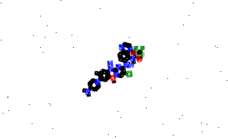 COc1cc(N2CCC(N(C)C)CC2)c(C)cc1Nc1ncc(Cl)c(Nc2ccc3nccnc3c2N(C)S(=O)(=O)C(F)(F)F)n1